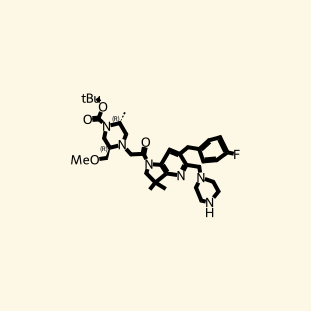 COC[C@H]1CN(C(=O)OC(C)(C)C)[C@H](C)CN1CC(=O)N1CC(C)(C)c2nc(CN3CCNCC3)c(Cc3ccc(F)cc3)cc21